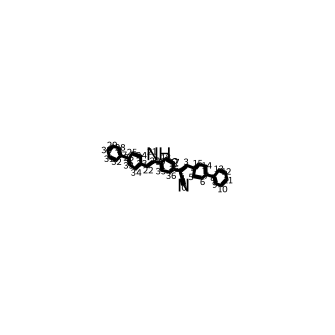 N#C/C(=C\c1ccc(-c2ccccc2)cc1)c1ccc(/C(N)=C/c2ccc(-c3ccccc3)cc2)cc1